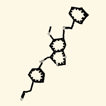 COc1cc2c(Nc3ccc(CC=O)cc3)ncnc2cc1OCc1ccccc1